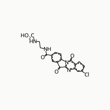 O=C(O)NCCNC(=O)c1ccc2c(c1)C(=O)c1nc3cc(Cl)ccc3c(=O)n1-2